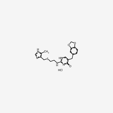 Cc1[nH]cnc1CSCCNc1nc(=O)c(Cc2ccc3c(c2)OCO3)c[nH]1.Cl